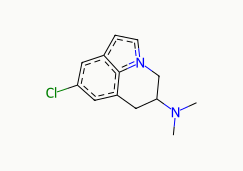 CN(C)C1Cc2cc(Cl)cc3ccn(c23)C1